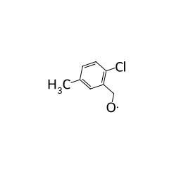 Cc1ccc(Cl)c(C[O])c1